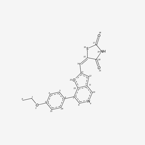 CCOc1ccc(-c2cncc3cc(/C=C4/SC(=O)NC4=O)oc23)cc1